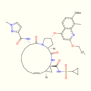 COc1ccc2c(O[C@@H]3C[C@H]4C(=O)N[C@]5(C(=O)NS(=O)(=O)C6CC6)C[C@H]5C=CCCCCC[C@H](NC(=O)c5ccn(C)n5)C(=O)N4C3)cc(OCC(F)(F)F)nc2c1C